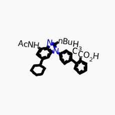 CCCCc1nc2c(NC(C)=O)cc(C3CCCCC3)cc2n1-c1ccc(-c2ccccc2C(=O)O)c(C)c1